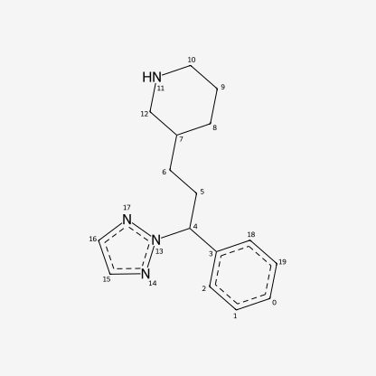 c1ccc(C(CCC2CCCNC2)n2nccn2)cc1